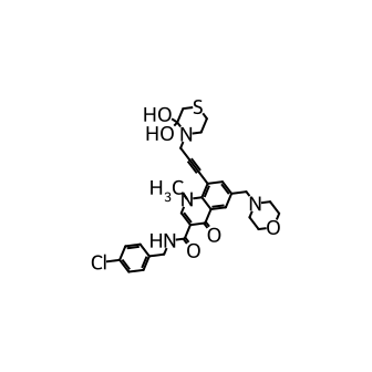 Cn1cc(C(=O)NCc2ccc(Cl)cc2)c(=O)c2cc(CN3CCOCC3)cc(C#CCN3CCSCC3(O)O)c21